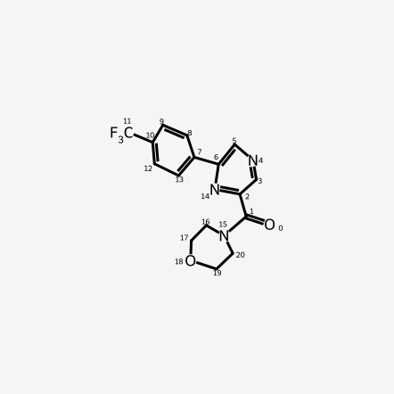 O=C(c1cncc(-c2ccc(C(F)(F)F)cc2)n1)N1CCOCC1